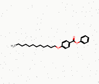 CCCCCCCCCCCCOc1ccc(C(=O)Oc2ccccc2)cc1